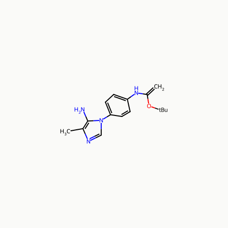 C=C(Nc1ccc(-n2cnc(C)c2N)cc1)OC(C)(C)C